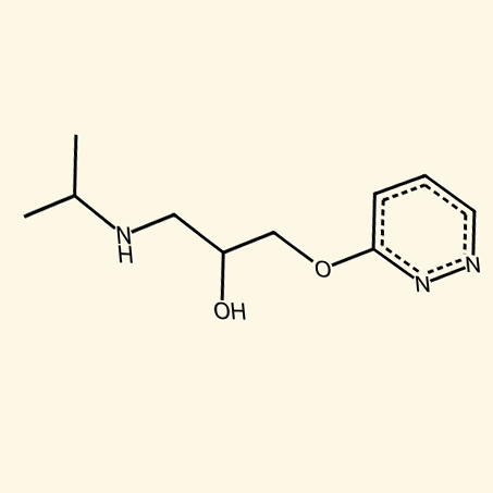 CC(C)NCC(O)COc1cccnn1